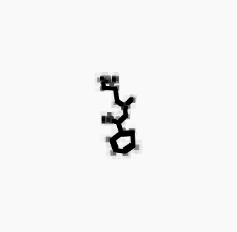 CN(CCCS(=O)(=O)O)C[C@H](O)c1ccccc1